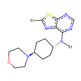 CCc1nc2c(N(CC)[C@H]3CC[C@H](N4CCOCC4)CC3)ncnc2s1